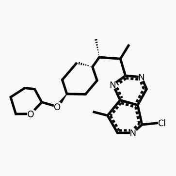 Cc1cnc(Cl)c2cnc(C(C)[C@@H](C)[C@H]3CC[C@H](OC4CCCCO4)CC3)nc12